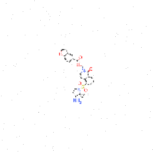 NC1CCN(S(=O)(=O)c2cccc3c(=O)n(COC(=O)c4ccc5occc5c4)ccc23)C12CC2